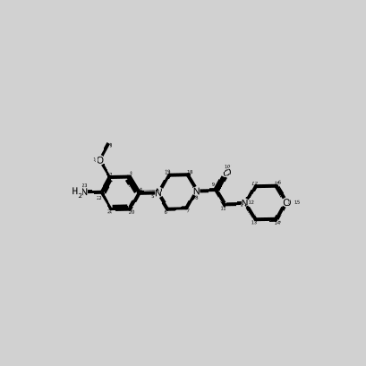 COc1cc(N2CCN(C(=O)CN3CCOCC3)CC2)ccc1N